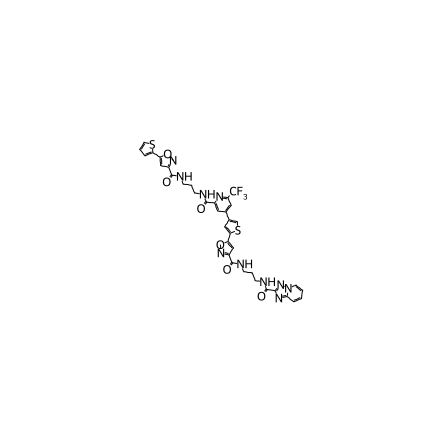 O=C(NCCCNC(=O)c1cc(-c2csc(-c3cc(C(=O)NCCCNC(=O)c4nc5ccccn5n4)no3)c2)cc(C(F)(F)F)n1)c1cc(-c2cccs2)on1